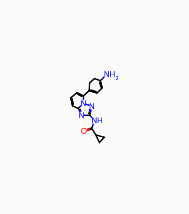 NC1=CC=C(c2cccc3nc(NC(=O)C4CC4)nn23)CC1